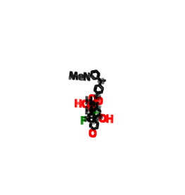 CNc1cccc([C@@H](C)c2ccc([C@@H]3O[C@@H]4C[C@H]5[C@@H]6C[C@H](F)C7=CC(=O)C=C[C@]7(C)[C@@]6(F)[C@@H](O)C[C@]5(C)[C@]4(C(=O)CO)O3)cc2)c1